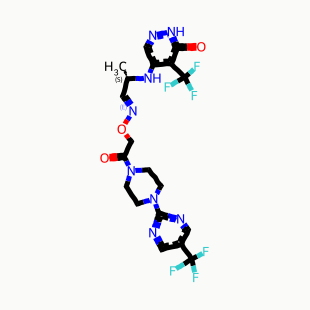 C[C@@H](/C=N/OCC(=O)N1CCN(c2ncc(C(F)(F)F)cn2)CC1)Nc1cn[nH]c(=O)c1C(F)(F)F